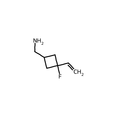 C=CC1(F)CC(CN)C1